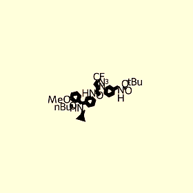 CCCCOc1c(OC)cccc1C(NCC1CC1)c1cccc(NC(=O)c2cc(C(F)(F)F)nn2-c2cccc(CNC(=O)OC(C)(C)C)c2)c1